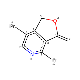 C=C1OCc2c(C(C)C)cnc(C(C)C)c21